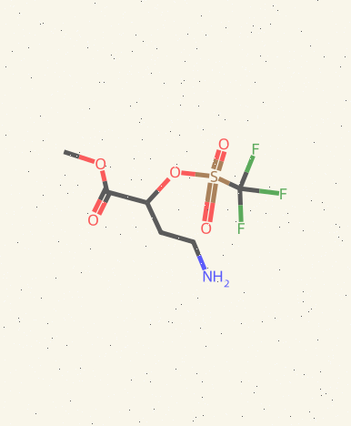 COC(=O)C(CCN)OS(=O)(=O)C(F)(F)F